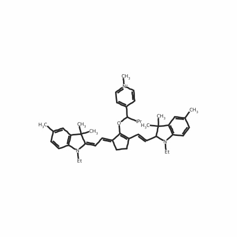 CCN1/C(=C/C=C2\CCC(/C=C/C3N(CC)c4ccc(C)cc4C3(C)C)=C2OC(c2cc[n+](C)cc2)C(C)C)C(C)(C)c2cc(C)ccc21